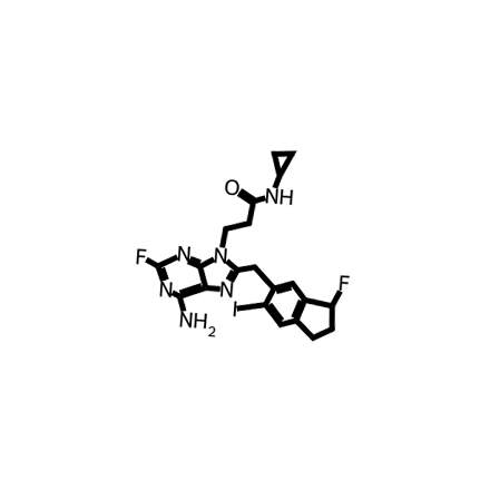 Nc1nc(F)nc2c1nc(Cc1cc3c(cc1I)CCC3F)n2CCC(=O)NC1CC1